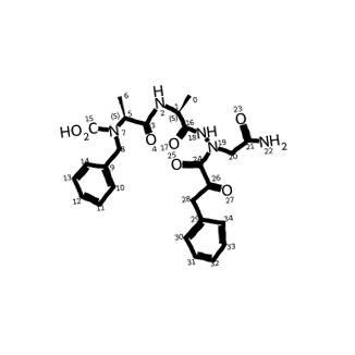 C[C@H](NC(=O)[C@H](C)N(Cc1ccccc1)C(=O)O)C(=O)NN(CC(N)=O)C(=O)C(=O)Cc1ccccc1